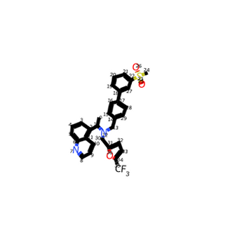 CC(c1cccc2ncccc12)N(Cc1ccc(-c2cccc(S(C)(=O)=O)c2)cc1)Cc1ccc(C(F)(F)F)o1